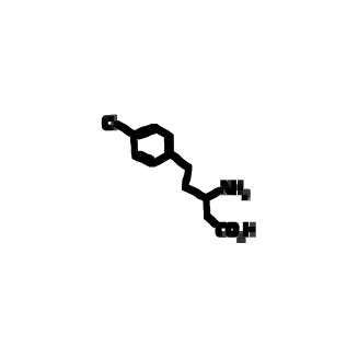 NC(CCc1ccc(Cl)cc1)CC(=O)O